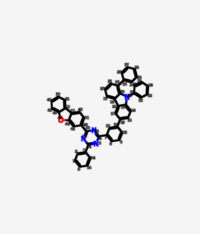 c1ccc(-c2nc(-c3cccc(-c4ccc5c(c4)c4cccc(-c6ccccc6)c4n5-c4ccccc4)c3)nc(-c3ccc4c(c3)oc3ccccc34)n2)cc1